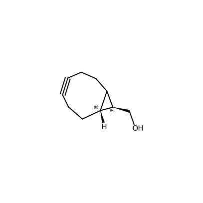 OC[C@@H]1C2CCC#CCC[C@H]21